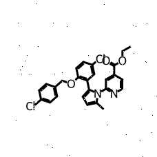 CCOC(=O)c1ccnc(-n2c(C)ccc2-c2cc(Cl)ccc2OCc2ccc(Cl)cc2)c1